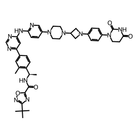 Cc1cc(-c2cc(Nc3ccc(N4CCN(C5CN(c6ccc(N7CCC(=O)NC7=O)cc6)C5)CC4)cn3)ncn2)ccc1[C@@H](C)NC(=O)c1nc(C(C)(C)C)no1